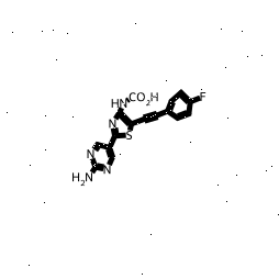 Nc1ncc(-c2nc(NC(=O)O)c(C#Cc3ccc(F)cc3)s2)cn1